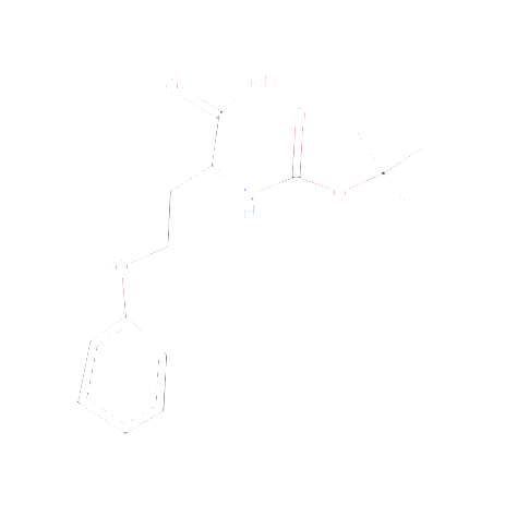 CC(C)(C)OC(=O)NC(CCOc1cc[c]cc1)C(=O)O